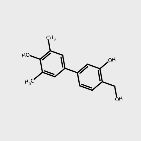 Cc1cc(-c2ccc(CO)c(O)c2)cc(C)c1O